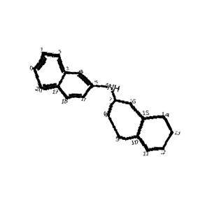 c1ccc2cc(NC3CCC4CCCCC4C3)ccc2c1